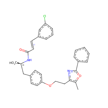 Cc1oc(-c2ccccc2)nc1CCOc1ccc(C[C@H](NC(=O)/C=C/c2cccc(Cl)c2)C(=O)O)cc1